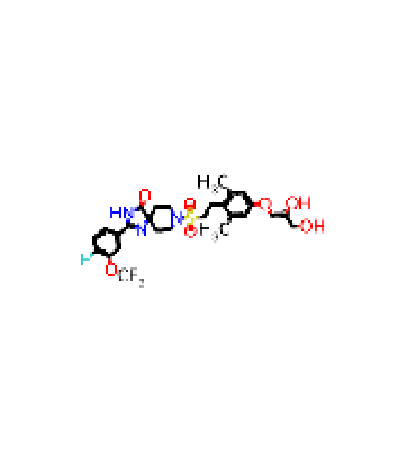 Cc1cc(OC[C@@H](O)CO)cc(C)c1CCS(=O)(=O)N1CCC2(CC1)N=C(c1ccc(F)c(OC(F)(F)F)c1)NC2=O